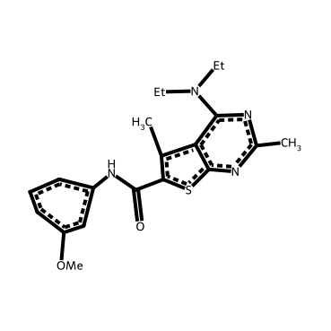 CCN(CC)c1nc(C)nc2sc(C(=O)Nc3cccc(OC)c3)c(C)c12